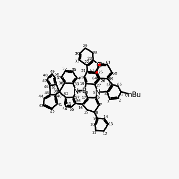 CCCCC1C=CC(N2C3=CC(C4=CCCC=C4)CC4=C3B(c3cc5c6c(oc5cc32)CCC=C6)N2c3ccccc3C3(c5ccccc5-c5ccccc53)c3cccc4c32)=C(c2ccccc2)C1